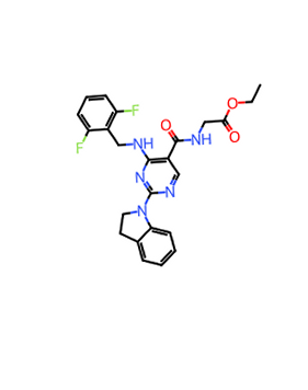 CCOC(=O)CNC(=O)c1cnc(N2CCc3ccccc32)nc1NCc1c(F)cccc1F